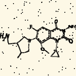 COc1c(N2CC(C)C(CN)C2)c(F)cc2c(=O)n(N)c(=O)n(C3CC3)c12